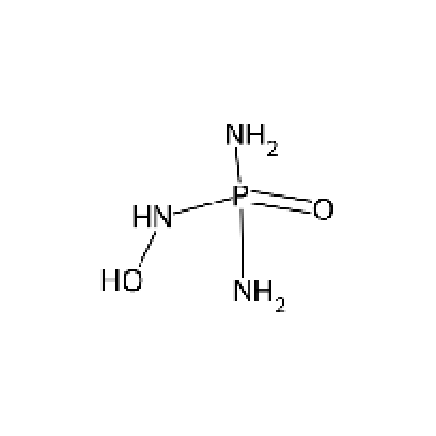 NP(N)(=O)NO